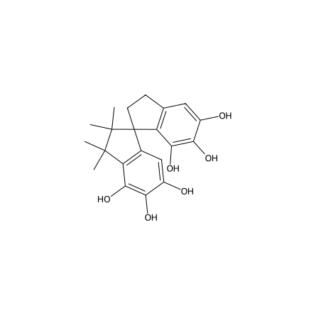 CC1(C)c2c(cc(O)c(O)c2O)C2(CCc3cc(O)c(O)c(O)c32)C1(C)C